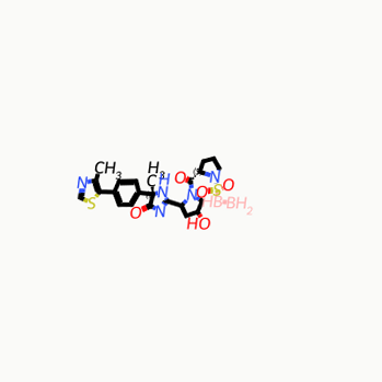 BBS(=O)(=O)N1CCC[C@H]1C(=O)N1CC(O)CC1C1=NC(=O)[C@](C)(c2ccc(-c3scnc3C)cc2)N1